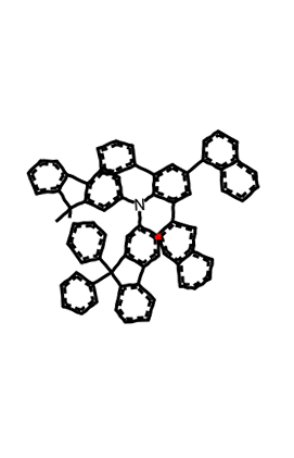 CC1(C)c2ccccc2-c2ccc(N(c3ccc4c(c3)C(c3ccccc3)(c3ccccc3)c3ccccc3-4)c3c(-c4ccccc4)cc(-c4cccc5ccccc45)cc3-c3ccc4ccccc4c3)cc21